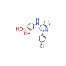 OB1OCc2cc(Nc3nc(-c4ccc(Cl)cc4)nc4c3CCC4)ccc21